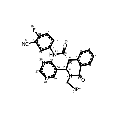 CC(C)CN1C(=O)c2ccccc2[C@@H](C(=O)Nc2ccc(F)c(C#N)c2)[C@@H]1c1cncnc1